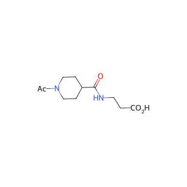 CC(=O)N1CCC(C(=O)NCCC(=O)O)CC1